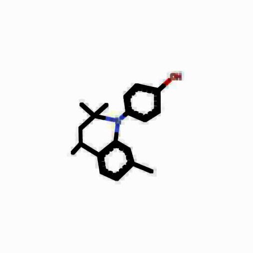 Cc1ccc2c(c1)N(c1ccc(O)cc1)C(C)(C)CC2C